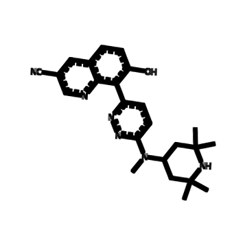 CN(c1ccc(-c2c(O)ccc3cc(C#N)cnc23)nn1)C1CC(C)(C)NC(C)(C)C1